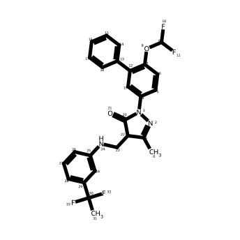 CC1=NN(c2ccc(OC(F)F)c(-c3ccccc3)c2)C(=O)C1CNc1cccc(C(C)(F)F)c1